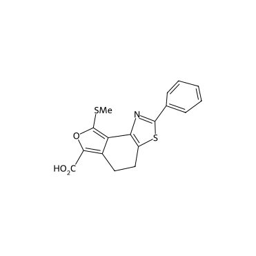 CSc1oc(C(=O)O)c2c1-c1nc(-c3ccccc3)sc1CC2